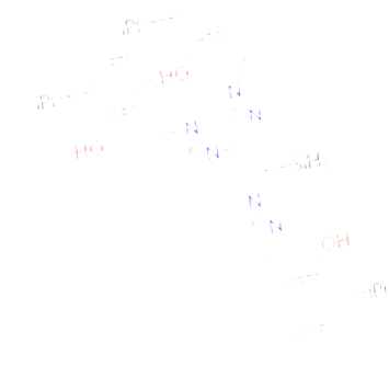 CC(C)c1cccc(C/N=N/C([SiH3])=C(/N=N/Cc2cccc(C(C)C)c2O)/N=N/Cc2cccc(C(C)C)c2O)c1O